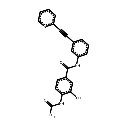 CC(=O)Nc1ccc(C(=O)Nc2cccc(C#Cc3ccccn3)c2)cc1O